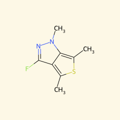 Cc1sc(C)c2c1c(F)nn2C